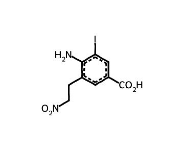 Nc1c(I)cc(C(=O)O)cc1CC[N+](=O)[O-]